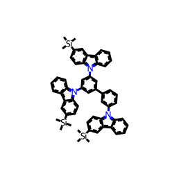 C[Si](C)(C)c1ccc2c(c1)c1ccccc1n2-c1cccc(-c2cc(-n3c4ccccc4c4cc([Si](C)(C)C)ccc43)cc(-n3c4ccccc4c4cc([Si](C)(C)C)ccc43)c2)c1